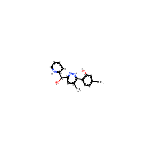 Cc1ccc(-c2nnc(C(O)c3ccccn3)cc2C)c(O)c1